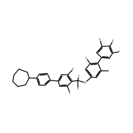 Fc1cc(-c2c(F)cc(OC(F)(F)c3c(F)cc(-c4ccc(C5CCCCCC5)cc4)cc3F)cc2F)cc(F)c1F